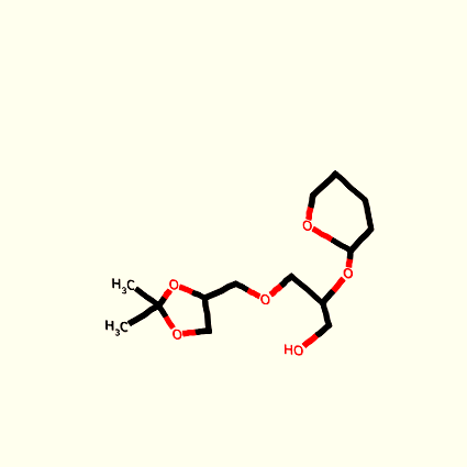 CC1(C)OCC(COCC(CO)OC2CCCCO2)O1